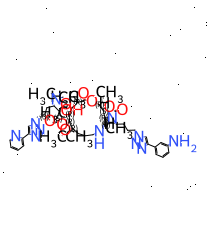 CC[C@H]1OC(=O)[C@H](C)C(=O)[C@H](C)[C@@H](O[C@@H]2O[C@H](Cn3cc(-c4ccccn4)nn3)CC(N(C)C)C2O)[C@](C)(OC)CCCN[C@H](C)[C@@H]2[C@@H]1OC(=O)N2CCCCn1cc(-c2cccc(N)c2)nn1